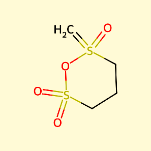 C=S1(=O)CCCS(=O)(=O)O1